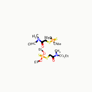 CCOC(=O)N(C)C(=O)CSP(=S)(OCC)OCC.COP(=S)(OC)SCC(=O)N(C)C=O